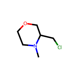 CN1CCOCC1CCl